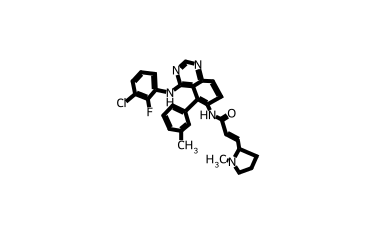 Cc1cccc(-c2c(NC(=O)C=CC3CCCN3C)ccc3ncnc(Nc4cccc(Cl)c4F)c23)c1